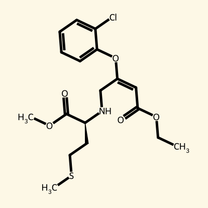 CCOC(=O)C=C(CN[C@@H](CCSC)C(=O)OC)Oc1ccccc1Cl